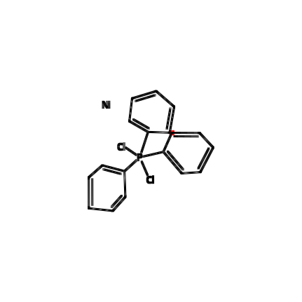 ClP(Cl)(c1ccccc1)(c1ccccc1)c1ccccc1.[Ni]